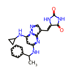 CC(Nc1cc(NC2CC2)n2ncc(/C=C3\NC(=O)NC3=O)c2n1)c1ccccc1